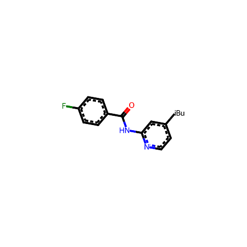 CCC(C)c1ccnc(NC(=O)c2ccc(F)cc2)c1